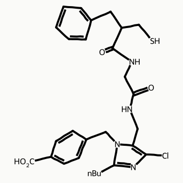 CCCCc1nc(Cl)c(CNC(=O)CNC(=O)C(CS)Cc2ccccc2)n1Cc1ccc(C(=O)O)cc1